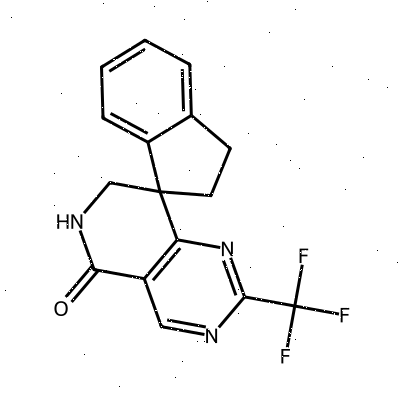 O=C1NCC2(CCc3ccccc32)c2nc(C(F)(F)F)ncc21